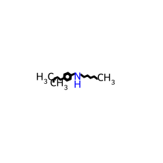 CCCCCCCNCc1ccc(CCC(C)C)cc1